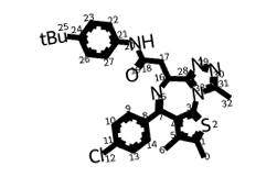 Cc1sc2c(c1C)C(c1ccc(Cl)cc1)=NC(CC(=O)Nc1ccc(C(C)(C)C)cc1)c1nnc(C)n1-2